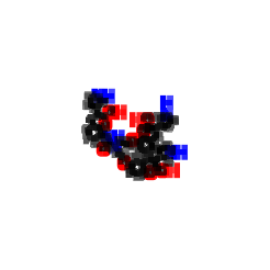 O=C(O)C(Cc1cccc(NC(=O)N(CCOc2cccc(CC(C(=O)O)C3CCNC3)c2)CCOc2cccc(CC(C(=O)O)C3CCNC3)c2)c1)C1CCNC1